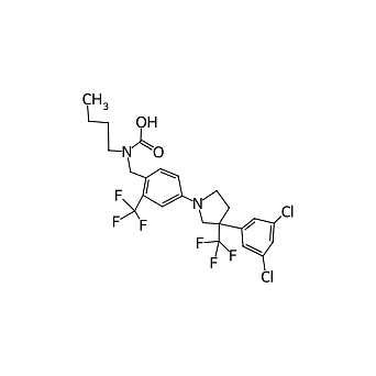 CCCCN(Cc1ccc(N2CCC(c3cc(Cl)cc(Cl)c3)(C(F)(F)F)C2)cc1C(F)(F)F)C(=O)O